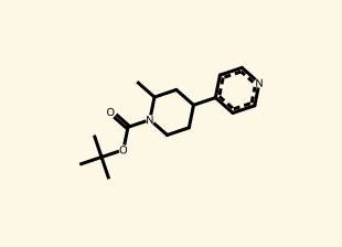 CC1CC(c2ccncc2)CCN1C(=O)OC(C)(C)C